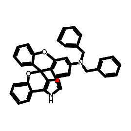 c1ccc(CN(Cc2ccccc2)c2ccc3c(c2)Oc2ccccc2C32Oc3ccccc3-c3[nH]c4ccccc4c32)cc1